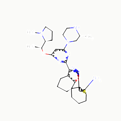 C[C@@H]1CN(c2cc(O[C@@H](C)[C@@H]3CCCN3C)nc(-c3noc4c3CCC[C@@]43CCCc4sc(N)c(C#N)c43)n2)CCN1